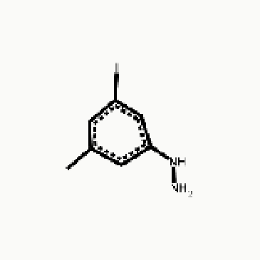 Cc1cc(I)cc(NN)c1